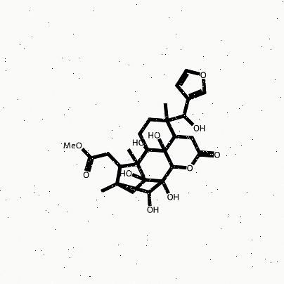 COC(=O)CC1C2(C)CC3(O)C(O)(C2O)C2OC(=O)CC4C(C)(C(O)c5ccoc5)CCC(O)(C42O)C13C